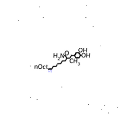 CCCCCCCC/C=C\CCCCCCC(C(N)=O)C(C)Cc1ccc(O)c(O)c1